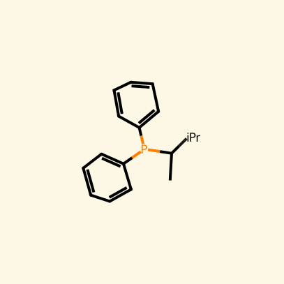 CC(C)C(C)P(c1ccccc1)c1ccccc1